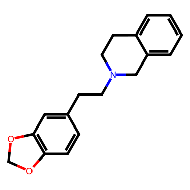 c1ccc2c(c1)CCN(CCc1ccc3c(c1)OCO3)C2